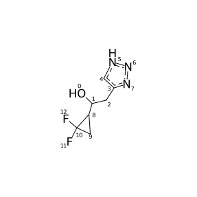 OC(Cc1c[nH]nn1)C1CC1(F)F